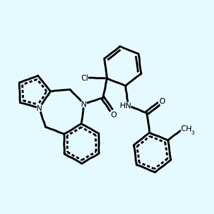 Cc1ccccc1C(=O)NC1C=CC=CC1(Cl)C(=O)N1Cc2cccn2Cc2ccccc21